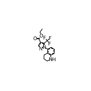 CCOC(=O)c1cnn(-c2cccc3c2CCCN3)c1C(F)(F)F